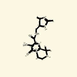 CC1=NC(C)C(CNC(=O)c2nc3n(c(=O)c2O)CCOC3(C)C)S1